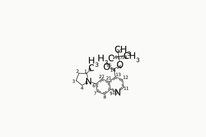 CC1CCCN1c1ccc2nccc(C(=O)OC(C)(C)C)c2c1